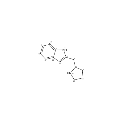 c1cnc2[nH]c(CC3CCCN3)cc2c1